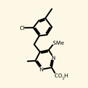 CSc1nc(C(=O)O)nc(C)c1Cc1ccc(C)cc1Cl